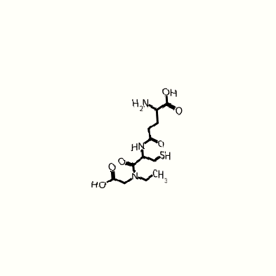 CCN(CC(=O)O)C(=O)C(CS)NC(=O)CCC(N)C(=O)O